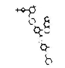 C[C@@H]1CN(c2cc(N3CCN(CC4=C(C56CC(C(C)(C)C(F)(F)F)(C5)C6)CC(C)(C)CC4)CC3)ccc2C(=O)NS(=O)(=O)c2ccc(NCC3CCOCC3)c([N+](=O)[O-])c2)c2cc3cc[nH]c3nc2O1